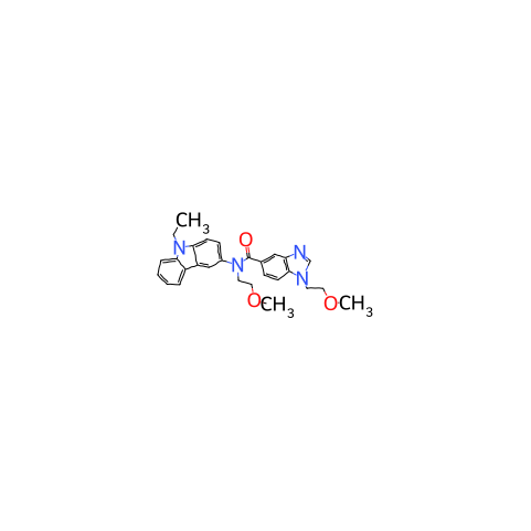 CCn1c2ccccc2c2cc(N(CCOC)C(=O)c3ccc4c(c3)ncn4CCOC)ccc21